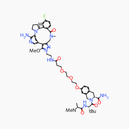 CN[C@@H](C)C(=O)N[C@H](C(=O)N1Cc2cc(OCCOCCOCCC(=O)NCCn3nc4c(c3OC)-c3cnc(N)c(c3)N3CCC[C@@H]3c3cc(F)ccc3C(=O)N(C)C4)ccc2C[C@H]1C(N)=O)C(C)(C)C